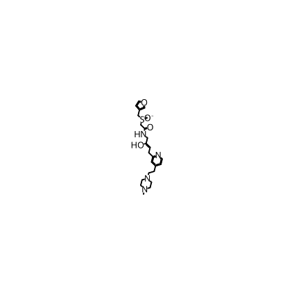 CN1CCN(CCc2ccnc(CC=C(O)CNC(=O)C[S+]([O-])Cc3ccoc3)c2)CC1